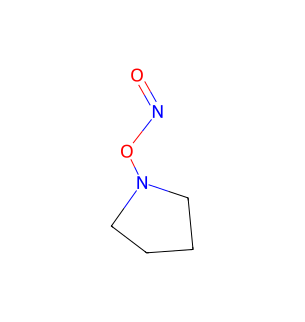 O=NON1CCCC1